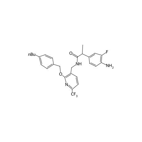 CCCCc1ccc(COc2nc(C(F)(F)F)ccc2CNC(=O)C(C)c2ccc(N)c(F)c2)cc1